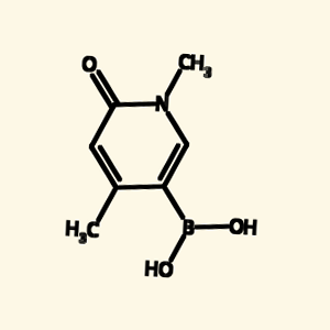 Cc1cc(=O)n(C)cc1B(O)O